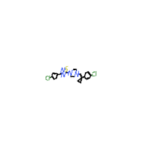 Clc1ccc(-c2nsc(N3CCN(CC4(c5ccc(Cl)cc5)CC4)CC3)n2)cc1